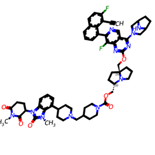 C#Cc1c(F)ccc2cccc(-c3ncc4c(N5CC6CCC(C5)N6)nc(OC[C@@]56CCCN5[C@H](COC(=O)N5CCC(CN7CCC(c8cccc9c8n(C)c(=O)n9C8CCC(=O)N(C)C8=O)CC7)CC5)CC6)nc4c3F)c12